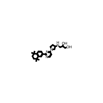 CC1(C)CCC(C)(C)c2cc(-c3nccc(N4CCC(NCC(O)CO)C4)n3)ccc21